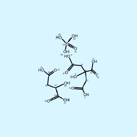 O=C(O)CC(O)(CC(=O)O)C(=O)O.O=C(O)CC(O)C(=O)O.O=P(O)(O)O